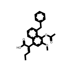 CC/C=C(\C(=O)O)c1cc(OC)c(OC(C)=O)c2c(Cc3ccccc3)cccc12